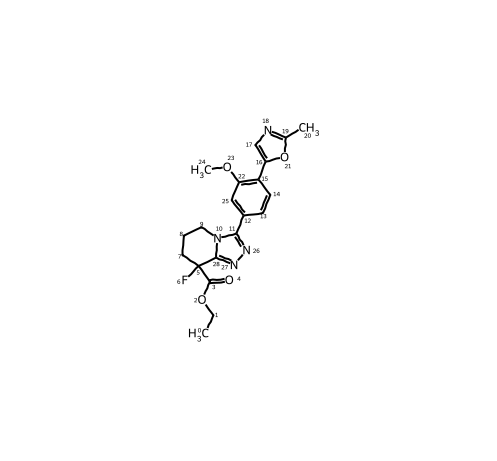 CCOC(=O)C1(F)CCCn2c(-c3ccc(-c4cnc(C)o4)c(OC)c3)nnc21